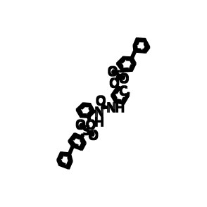 O=C(Nc1cccc(OS(=O)(=O)c2ccc(-c3ccccc3)cc2)c1)Nc1ccccc1OS(=O)(=O)c1ccc(-c2ccccc2)cc1